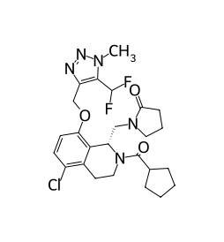 Cn1nnc(COc2ccc(Cl)c3c2[C@H](CN2CCCC2=O)N(C(=O)C2CCCC2)CC3)c1C(F)F